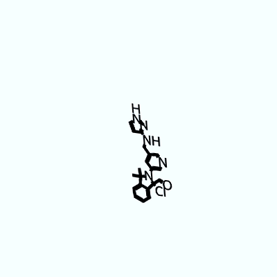 CC1(C)c2ccccc2C(Cl)(C=O)N1c1cncc(CNc2cc[nH]n2)c1